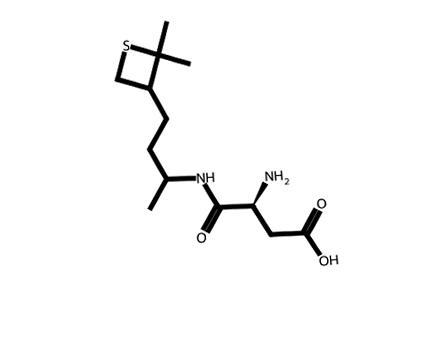 CC(CCC1CSC1(C)C)NC(=O)[C@@H](N)CC(=O)O